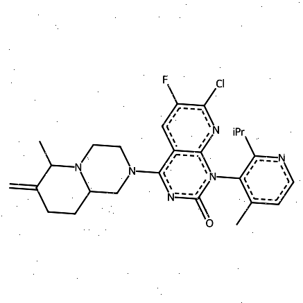 C=C1CCC2CN(c3nc(=O)n(-c4c(C)ccnc4C(C)C)c4nc(Cl)c(F)cc34)CCN2C1C